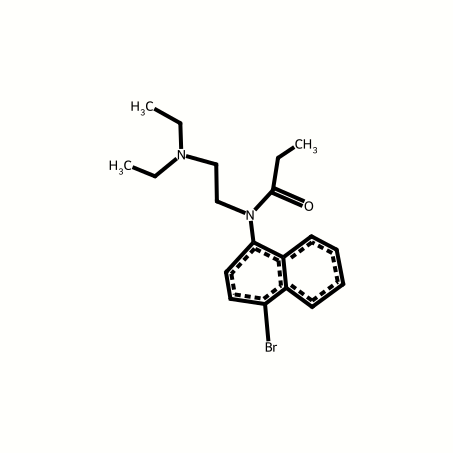 CCC(=O)N(CCN(CC)CC)c1ccc(Br)c2ccccc12